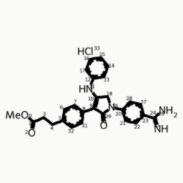 COC(=O)CCc1ccc(C2=C(Nc3ccccc3)CN(c3ccc(C(=N)N)cc3)C2=O)cc1.Cl